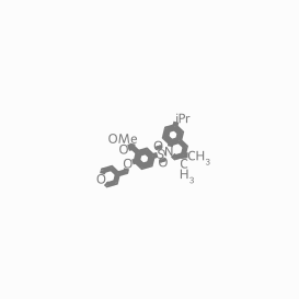 COC(=O)c1cc(S(=O)(=O)N2CC(C)(C)Cc3cc(C(C)C)ccc32)ccc1OCC1CCOCC1